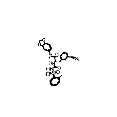 Cc1ccccc1S(=O)(=O)NC(=O)N[C@@H](Cc1cccc(C#N)c1)C(=O)N(C)c1ccc2c(c1)OCO2